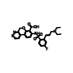 CCN(CC)CC=Cc1cc(F)ccc1S(=O)(=O)Nc1ccc2c(c1C(=O)O)OCc1nnccc1-2